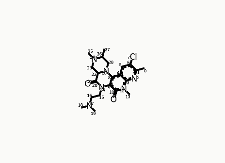 Cc1nc2c(cc1Cl)c1c(c(=O)n2C)N(CCN(C)C)C(=O)C2CN(C)C(C)CN12